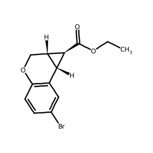 CCOC(=O)[C@@H]1[C@H]2COc3ccc(Br)cc3[C@H]21